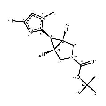 Cn1cc(I)nc1[C@H]1[C@@H]2CN(C(=O)OC(C)(C)C)C[C@@H]21